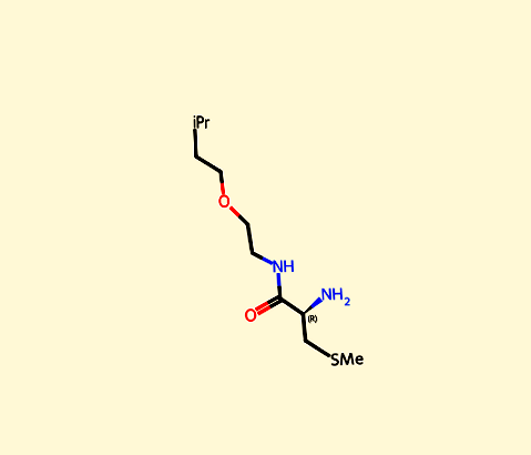 CSC[C@H](N)C(=O)NCCOCCC(C)C